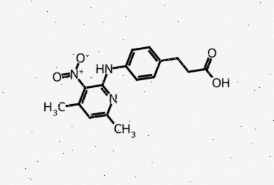 Cc1cc(C)c([N+](=O)[O-])c(Nc2ccc(CCC(=O)O)cc2)n1